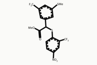 COC(=O)C(Sc1ccc([N+](=O)[O-])cc1C(F)(F)F)c1cc(SC)cc(C(F)(F)F)c1